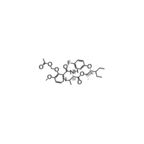 CCC(CC)[C@@H](Oc1ccc(F)cc1)[C@H](C)OC(=O)[C@@H](NC(=O)c1nccc(OC)c1OCOC(C)=O)C(C)C